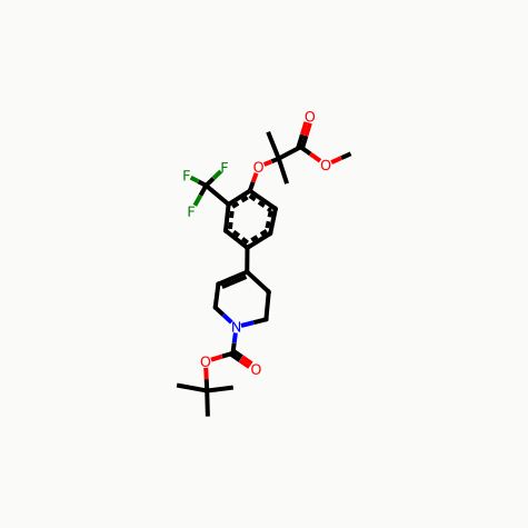 COC(=O)C(C)(C)Oc1ccc(C2=CCN(C(=O)OC(C)(C)C)CC2)cc1C(F)(F)F